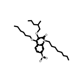 CCCCCCCCn1c(=O)c(OCC(C)CCC)c(OCCCCCC)c2ccc([N+](=O)[O-])cc21